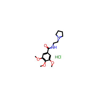 COc1cc(C(=O)NCCN2CCCC2)cc(OC)c1OC.Cl